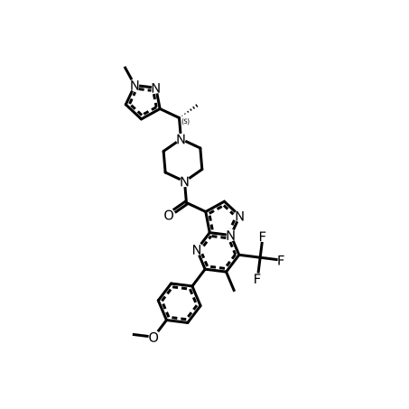 COc1ccc(-c2nc3c(C(=O)N4CCN([C@@H](C)c5ccn(C)n5)CC4)cnn3c(C(F)(F)F)c2C)cc1